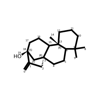 C=C1C[C@@]23CCC4C(C)(C)CCC[C@@]4(C)C2CC[C@]1(O)C3